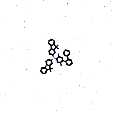 Cc1cc(N(c2ccc3c(c2)C(C)(C)c2ccccc2-3)c2ccc3c(c2)C(C)(C)c2ccccc2-3)c(C)cc1-c1ccccc1-c1ccccc1